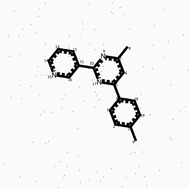 Cc1ccc(-c2cc(C)nc(-c3cccnc3)n2)cc1